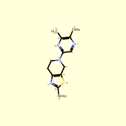 COc1ncc(N2CCc3nc(NC(C)=O)sc3C2)nc1C